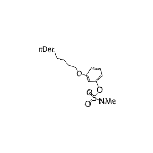 CCCCCCCCCCCCCCOc1cccc(OS(=O)(=O)NC)c1